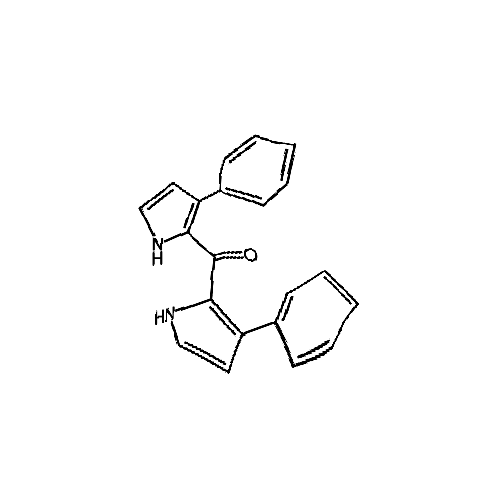 O=C(c1[nH]ccc1-c1ccccc1)c1[nH]ccc1-c1ccccc1